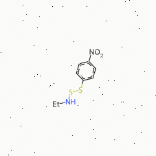 CCNSSc1ccc([N+](=O)[O-])cc1